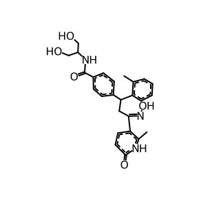 Cc1ccccc1C(C/C(=N\O)c1ccc(=O)[nH]c1C)c1ccc(C(=O)NC(CO)CO)cc1